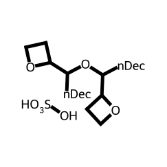 CCCCCCCCCCC(OC(CCCCCCCCCC)C1CCO1)C1CCO1.O=S(=O)(O)O